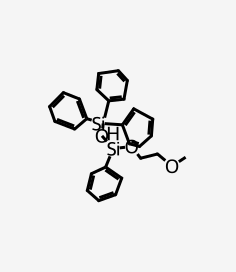 COCCO[SiH](O[Si](c1ccccc1)(c1ccccc1)c1ccccc1)c1ccccc1